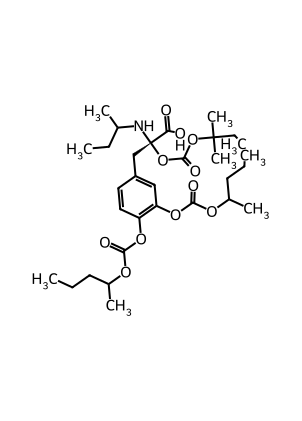 CCCC(C)OC(=O)Oc1ccc(C[C@](NC(C)CC)(OC(=O)OC(C)(C)CC)C(=O)O)cc1OC(=O)OC(C)CCC